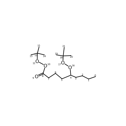 CCCCC(CCCC(=O)OOC(C)(C)C)OOC(C)(C)C